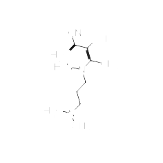 C=C(C#N)/C(C)=C(/C)N(N)CCCN(C)C